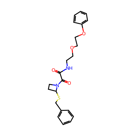 O=C(NCCOCCOc1ccccc1)C(=O)N1CCC1SCc1ccccc1